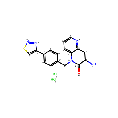 Cl.Cl.NC1Cc2ncccc2N(Cc2ccc(-c3csnn3)cc2)C1=O